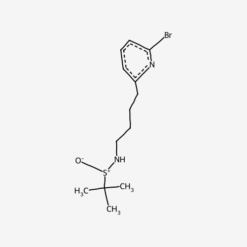 CC(C)(C)[S+]([O-])NCCCCc1cccc(Br)n1